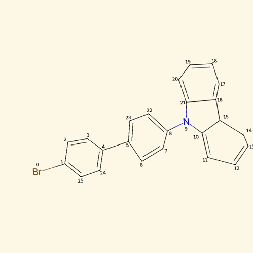 Brc1ccc(-c2ccc(N3C4=CC=CCC4c4ccccc43)cc2)cc1